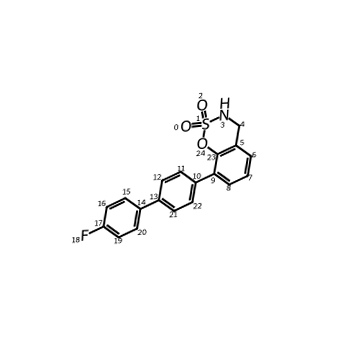 O=S1(=O)NCc2cccc(-c3ccc(-c4ccc(F)cc4)cc3)c2O1